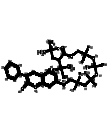 CC(C)(N)CC(C(=O)OCC(F)(F)OC(F)(F)OC(F)(F)OC(F)(F)COc1ccc2cc(-c3ccccc3)c(=O)oc2c1)C(C)(C)N